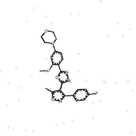 COc1cc(N2CCOCC2)ccc1-c1nnc(-c2c(-c3ccc(F)cc3)noc2C)o1